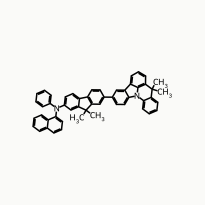 CC1(C)c2cc(-c3ccc4c(c3)c3cccc5c3n4-c3ccccc3C5(C)C)ccc2-c2ccc(N(c3ccccc3)c3cccc4ccccc34)cc21